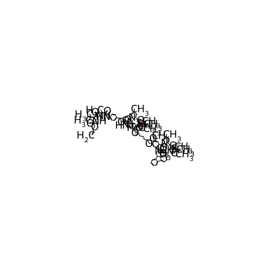 C=CCOC(=O)NC(C(=O)NC(C)C(=O)Nc1ccc(COC(=O)Nc2cc(OCCCCCOc3cc(N(CC4c5ccccc5-c5ccccc54)C(=O)O)c(C(=O)N4C=C(C)CC4CO[Si](C)(C)C(C)(C)C)cc3OC)c(OC)cc2C(=O)N2C=C(C)CC2CO[Si](C)(C)C(C)(C)C)cc1)C(C)C